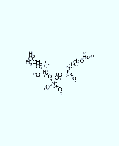 O.O.O.O.O.O=[N+]([O-])[O-].O=[N+]([O-])[O-].O=[N+]([O-])[O-].[Ho+3]